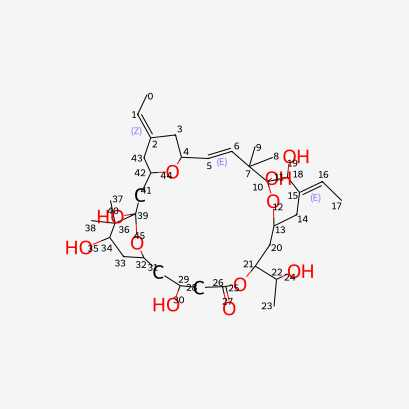 C/C=C1\CC2/C=C/C(C)(C)C3(O)OC(C/C(=C\C)C3O)CC(C(C)O)OC(=O)CC(O)CC3CC(O)C(C)(C)C(O)(CC(C1)O2)O3